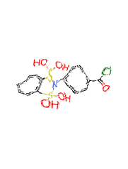 O=C(Cl)c1ccc(N2S(O)(O)c3ccccc3S2(O)O)cc1